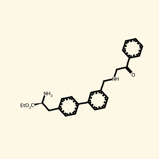 CCOC(=O)[C@@H](N)Cc1ccc(-c2cccc(CNCC(=O)c3ccccc3)c2)cc1